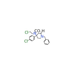 O=C(O)N(CCCl)C1(c2ccc(Cl)cc2)CCN(Cc2ccccc2)CC1